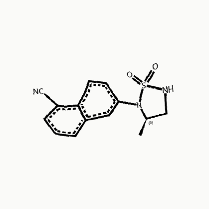 C[C@@H]1CNS(=O)(=O)N1c1ccc2c(C#N)cccc2c1